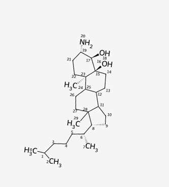 CC(C)CCC[C@@H](C)[C@H]1CCC2C3CC[C@@]4(O)[C@H](O)[C@@H](N)CC[C@]4(C)C3CCC21C